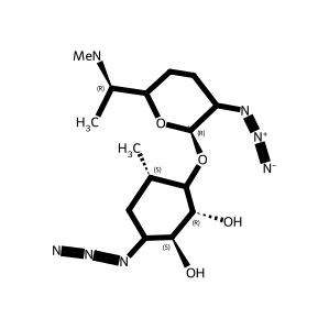 CN[C@H](C)C1CCC(N=[N+]=[N-])[C@@H](OC2[C@@H](C)CC(N=[N+]=[N-])[C@H](O)[C@H]2O)O1